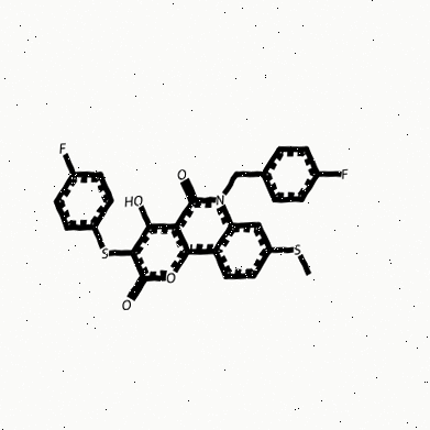 CSc1ccc2c3oc(=O)c(Sc4ccc(F)cc4)c(O)c3c(=O)n(Cc3ccc(F)cc3)c2c1